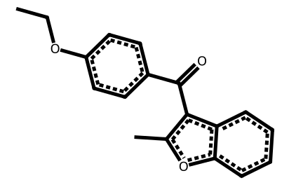 CCOc1ccc(C(=O)c2c(C)oc3ccccc23)cc1